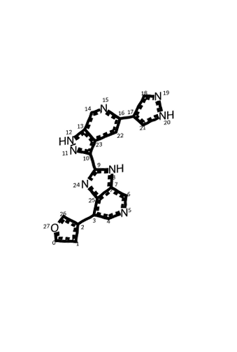 c1cc(-c2cncc3[nH]c(-c4n[nH]c5cnc(-c6cn[nH]c6)cc45)nc23)co1